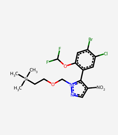 C[Si](C)(C)CCOCn1ncc([N+](=O)[O-])c1-c1cc(Cl)c(Br)cc1OC(F)F